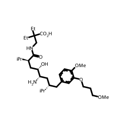 CCC(CC)(CNC(=O)[C@@H](C[C@H](O)[C@@H](N)C[C@H](Cc1ccc(OC)c(OCCCOC)c1)C(C)C)C(C)C)C(=O)O